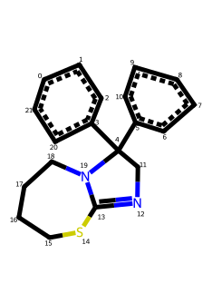 c1ccc(C2(c3ccccc3)CN=C3SCCCCN32)cc1